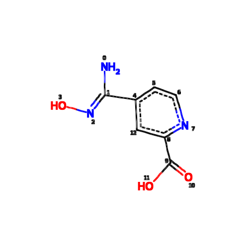 N/C(=N\O)c1ccnc(C(=O)O)c1